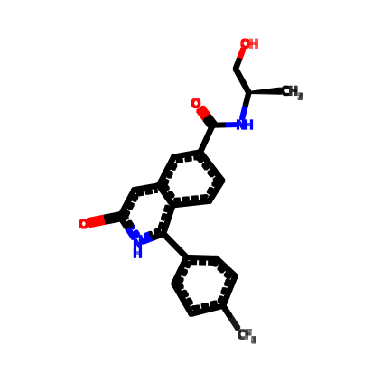 C[C@H](CO)NC(=O)c1ccc2c(-c3ccc(C(F)(F)F)cc3)[nH]c(=O)cc2c1